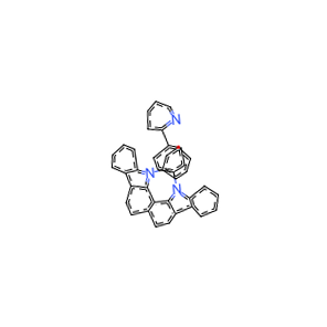 c1ccc(-n2c3ccccc3c3ccc4ccc5c6ccccc6n(-c6ccc(-c7ccccn7)cc6)c5c4c32)cc1